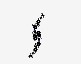 C=CC(=O)OCCOc1ccc(C(=O)Oc2ccc(/C=C/C(=O)Oc3ccc4ccccc4c3-c3c(OC(=O)/C=C/c4ccc(OC(=O)c5ccc(OCCOC(C)=O)cc5)c(OC)c4)ccc4ccccc34)cc2OC)cc1